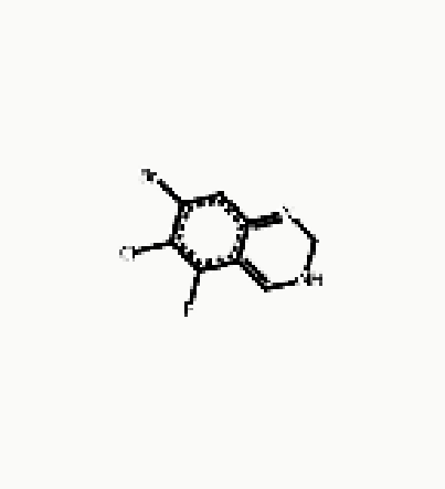 Fc1c(Cl)c(Br)cc2c1=CNCN=2